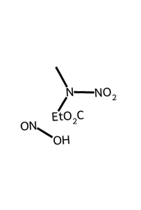 CCOC(=O)N(C)[N+](=O)[O-].O=NO